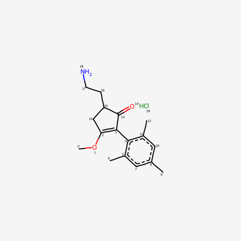 COC1=C(c2c(C)cc(C)cc2C)C(=O)C(CCN)C1.Cl